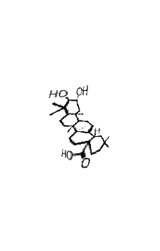 CC1(C)CC[C@]2(C(=O)O)CC[C@]3(C)C(=CCC4[C@@]5(C)C[C@@H](O)[C@H](O)C(C)(C)C5CC[C@]43C)[C@@H]2C1